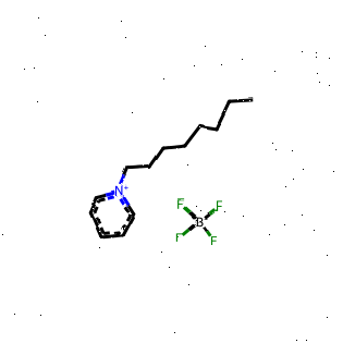 CCCCCCCC[n+]1ccccc1.F[B-](F)(F)F